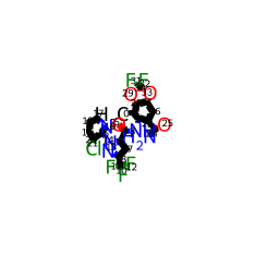 Cc1c(NC(=O)c2cc(C(F)(F)F)nn2-c2ncccc2Cl)c(C(N)=O)cc2c1OC(F)(F)O2